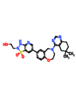 CC1(C)CCc2ncnc(N3CCOc4ccc(-c5cnc6c(c5)S(=O)(=O)N(CCO)N6)cc4C3)c2C1